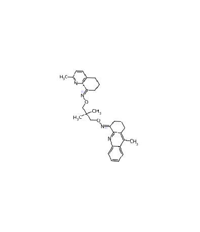 Cc1ccc2c(n1)/C(=N/OCC(C)(C)CO/N=C1\CCCc3c1nc1ccccc1c3C)CCC2